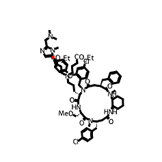 CCOC(=O)CCCN(CCCC(=O)OCC)CCC[C@H]1C(=O)N[C@@H](COC)C(=O)N(C)[C@@H](Cc2ccc(Cl)cc2)CC(=O)N[C@H]2CCCC[C@@H]2N(C)C(=O)[C@H](Cc2ccccc2)CC(=O)N1Cc1ccc(Cl)cc1Oc1ccc(-c2cnc(CN(C)C)n2C)cc1